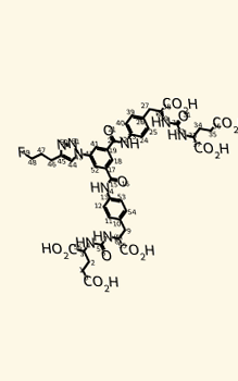 O=C(O)CCC(NC(=O)N[C@@H](Cc1ccc(NC(=O)c2cc(C(=O)Nc3ccc(C[C@H](NC(=O)NC(CCC(=O)O)C(=O)O)C(=O)O)cc3)cc(-n3cc(CCCF)nn3)c2)cc1)C(=O)O)C(=O)O